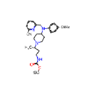 COc1ccc(N(Cc2cccc(C#N)n2)C2CCN([C@H](C)CCNC(=O)OC(C)(C)C)CC2)cc1